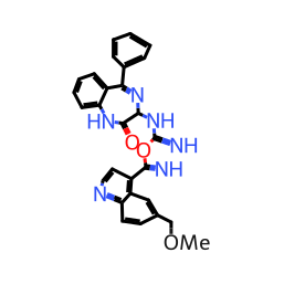 COCc1ccc2nccc(C(=N)OC(=N)NC3N=C(c4ccccc4)c4ccccc4NC3=O)c2c1